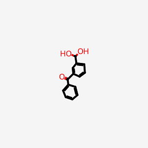 O=C(c1ccccc1)c1cccc(C(O)O)c1